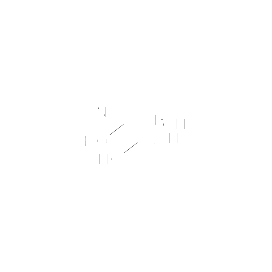 N.O=S(=O)(O)O.O=S(=O)(O)O.[AsH3]